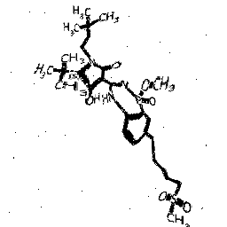 COP1(=O)N=C(C2=C(O)[C@H](C(C)(C)C)N(CCC(C)(C)C)C2=O)Nc2ccc(CCCCCS(C)(=O)=O)cc21